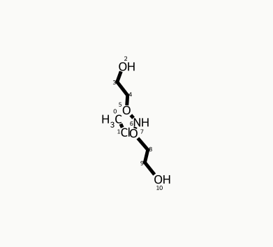 CCl.OCCONOCCO